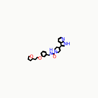 O=C(NCc1cccc(OCCC2CCCO2)c1)N1CC=C(c2c[nH]c3ncccc23)CC1